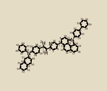 [2H]/C(=C(/[2H])c1ccc(-c2ccc3c4c2ccc2cccc(c24)n3-c2ccc(-c3ccccc3)cc2)cn1)c1ccc(N(c2ccccc2)c2ccc3ccccc3c2)cc1